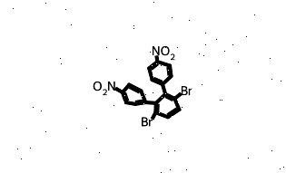 O=[N+]([O-])c1ccc(-c2c(Br)ccc(Br)c2-c2ccc([N+](=O)[O-])cc2)cc1